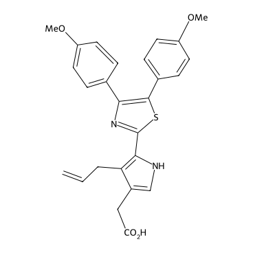 C=CCc1c(CC(=O)O)c[nH]c1-c1nc(-c2ccc(OC)cc2)c(-c2ccc(OC)cc2)s1